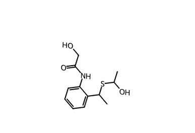 CC(O)SC(C)c1ccccc1NC(=O)CO